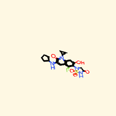 O=C1CN(c2c(O)cc3c(cc(NC4CCCC4)c(=O)n3C3CC3)c2F)S(=O)(=O)N1